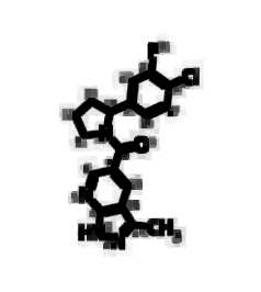 Cc1n[nH]c2ncc(C(=O)N3CCCC3c3ccc(Cl)c(F)c3)cc12